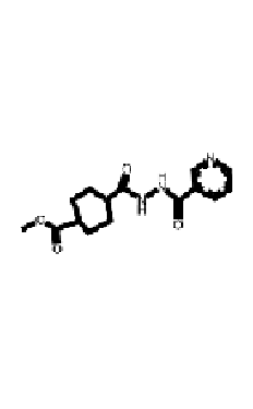 COC(=O)C1CCC(C(=O)NNC(=O)c2cccnc2)CC1